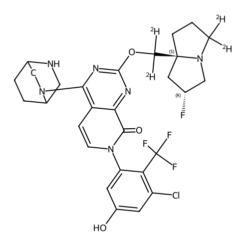 [2H]C1([2H])CC[C@@]2(C([2H])([2H])Oc3nc(N4CC5CCC4CN5)c4ccn(-c5cc(O)cc(Cl)c5C(F)(F)F)c(=O)c4n3)C[C@@H](F)CN12